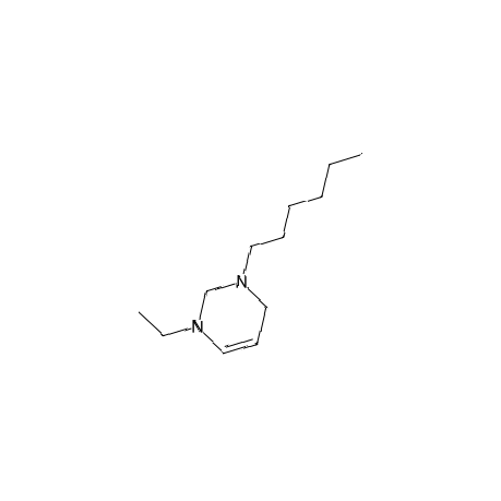 CCCCCCN1CC=CN(CC)C1